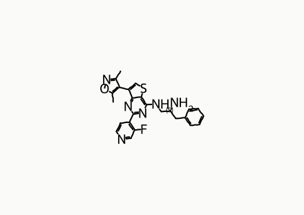 Cc1noc(C)c1-c1csc2c(NC[C@@H](N)Cc3ccccc3)nc(-c3ccncc3F)nc12